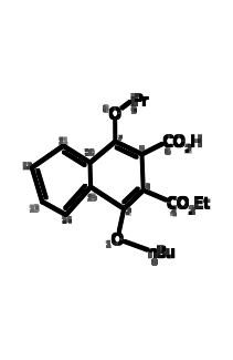 CCCCOc1c(C(=O)OCC)c(C(=O)O)c(OC(C)C)c2ccccc12